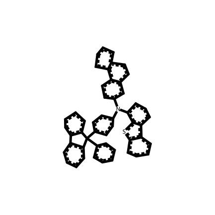 c1ccc(C2(c3ccc(N(c4ccc5c(ccc6ccccc65)c4)c4cccc5c4sc4ccccc45)cc3)c3ccccc3-c3ccccc32)cc1